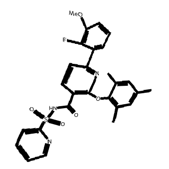 COc1cccc(-c2ccc(C(=O)NS(=O)(=O)c3ccccn3)c(Oc3c(C)cc(C)cc3C)n2)c1F